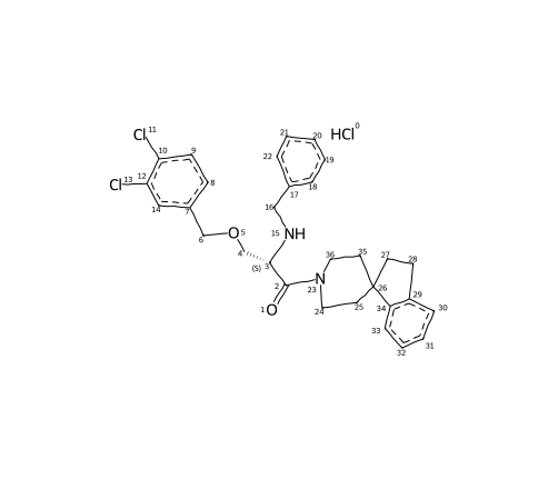 Cl.O=C([C@H](COCc1ccc(Cl)c(Cl)c1)NCc1ccccc1)N1CCC2(CCc3ccccc32)CC1